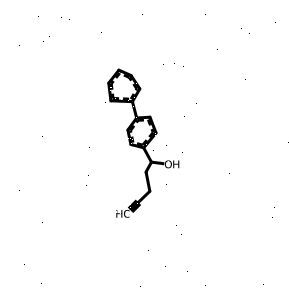 C#CCCC(O)c1ccc(-c2ccccc2)cc1